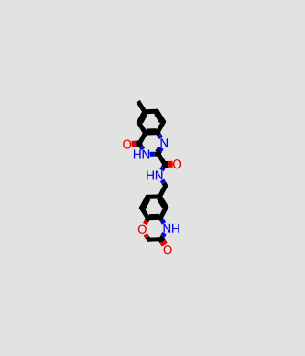 Cc1ccc2nc(C(=O)NCc3ccc4c(c3)NC(=O)CO4)[nH]c(=O)c2c1